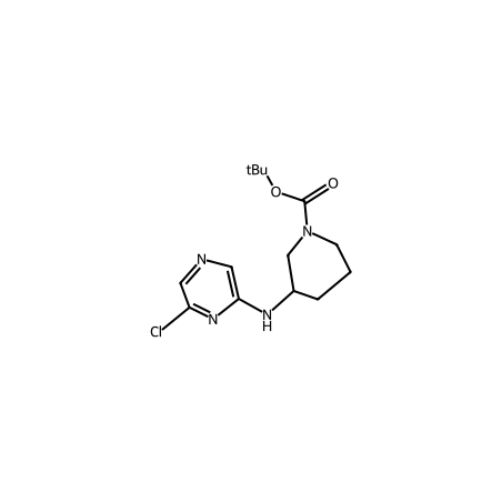 CC(C)(C)OC(=O)N1CCCC(Nc2cncc(Cl)n2)C1